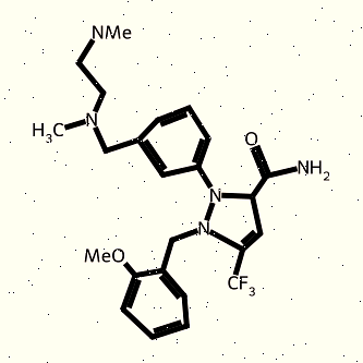 CNCCN(C)Cc1cccc(N2C(C(N)=O)C=C(C(F)(F)F)N2Cc2ccccc2OC)c1